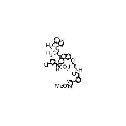 COc1ncc(-c2cccc(CC(=O)NCCCOc3ccc4c(c3)C3(CCC(Nc5cccc(Cl)c5)(C(=O)O)CC3)[C@@H](C[C@@H](C)COc3ccnc5c3[C@H](C)CCC5)C4)c2)cn1